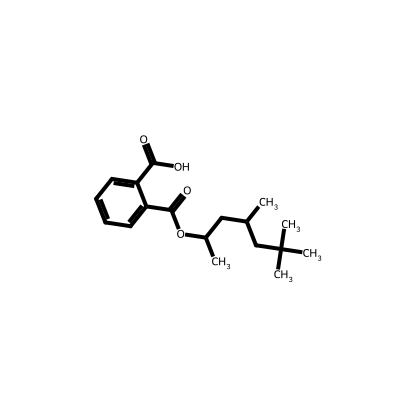 CC(CC(C)OC(=O)c1ccccc1C(=O)O)CC(C)(C)C